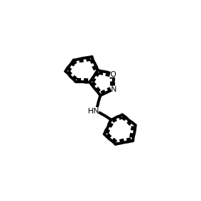 c1ccc(Nc2noc3ccccc23)cc1